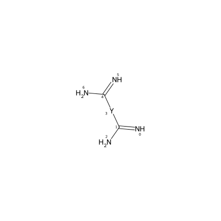 N=[C](N)[Y][C](=N)N